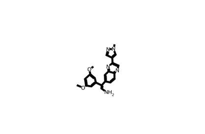 COc1cc(OC)cc(/C(=C/N)c2ccc3ncc(-c4cnn(C)c4)nc3c2)c1